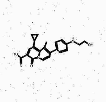 Cc1c(-c2ccc(NCCO)cc2)ccn2c(=O)c(C(=O)O)cc(C3CC3)c12